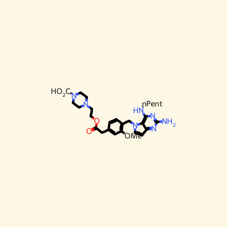 CCCCCNc1nc(N)nc2ccn(Cc3ccc(CC(=O)OCCN4CCN(C(=O)O)CC4)cc3OC)c12